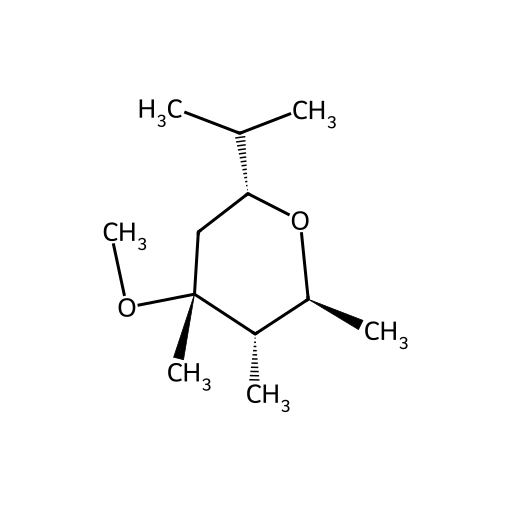 CO[C@]1(C)C[C@H](C(C)C)O[C@@H](C)[C@@H]1C